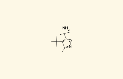 Cc1noc(C(C)(C)N)c1C(C)(C)C